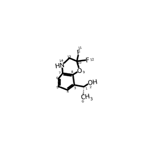 C[C@@H](O)c1cccc2c1OC(F)(F)CN2